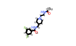 CC(C)(C)C(=O)NCCN1CCC(CNC(=O)c2cc(F)cc(F)c2)CC1